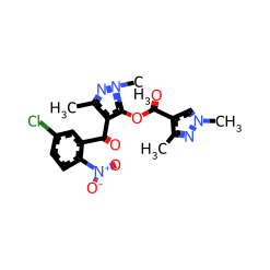 Cc1nn(C)cc1C(=O)Oc1c(C(=O)c2cc(Cl)ccc2[N+](=O)[O-])c(C)nn1C